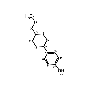 CCCC1CCC(c2ccc(O)cc2)CC1